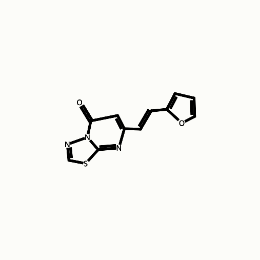 O=c1cc(/C=C/c2ccco2)nc2scnn12